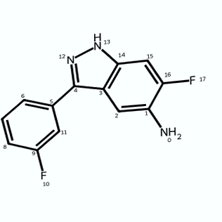 Nc1cc2c(-c3cccc(F)c3)n[nH]c2cc1F